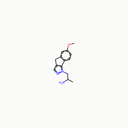 COc1ccc2c(c1)Cc1cnn(CC(C)N)c1-2